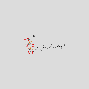 CCCCCCCCCCP(=O)(O)OP(=O)(O)CC